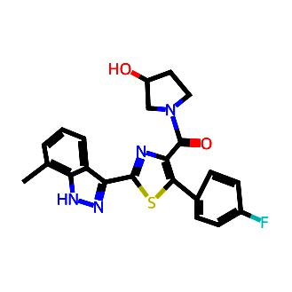 Cc1cccc2c(-c3nc(C(=O)N4CCC(O)C4)c(-c4ccc(F)cc4)s3)n[nH]c12